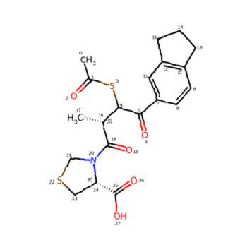 CC(=O)SC(C(=O)c1ccc2c(c1)CCC2)[C@@H](C)C(=O)N1CSC[C@H]1C(=O)O